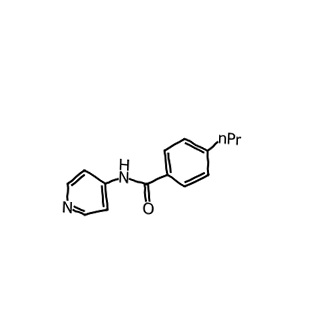 CCCc1ccc(C(=O)Nc2ccncc2)cc1